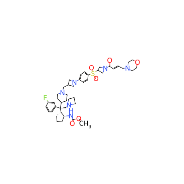 COC(=O)N[C@H]1CCC[C@@H]1[C@](CN1CCC1)(c1cccc(F)c1)C1CCN(CC2CN(c3ccc(S(=O)(=O)C4CN(C(=O)/C=C/CN5CCOCC5)C4)cc3)C2)CC1